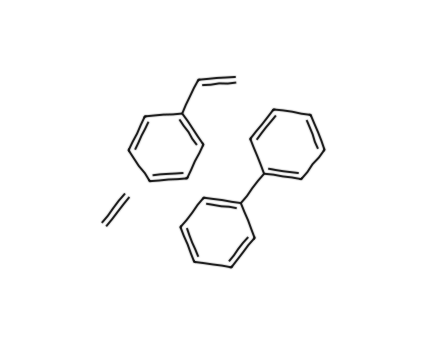 C=C.C=Cc1ccccc1.c1ccc(-c2ccccc2)cc1